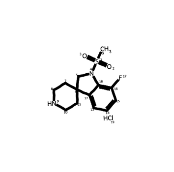 CS(=O)(=O)N1CC2(CCNCC2)c2cccc(F)c21.Cl